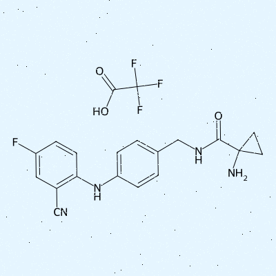 N#Cc1cc(F)ccc1Nc1ccc(CNC(=O)C2(N)CC2)cc1.O=C(O)C(F)(F)F